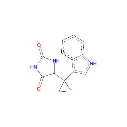 O=C1NC(=O)C(C2(c3c[nH]c4ccccc34)CC2)N1